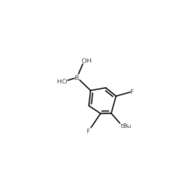 CC(C)(C)c1c(F)cc(B(O)O)cc1F